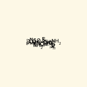 Cc1nc2sc(C(=O)NC3CCc4nc(N5CC(N)C(OC(C)C)C5)cc(F)c4C3)c(N)c2cc1F